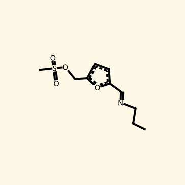 CCCN=Cc1ccc(COS(C)(=O)=O)o1